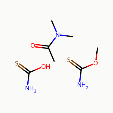 CC(=O)N(C)C.COC(N)=S.NC(O)=S